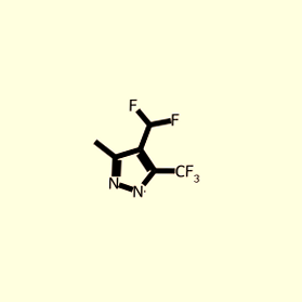 CC1=N[N]C(C(F)(F)F)=C1C(F)F